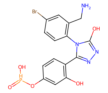 NCc1cc(Br)ccc1-n1c(O)nnc1-c1ccc(O[PH](=O)O)cc1O